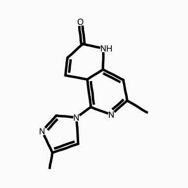 Cc1cn(-c2nc(C)cc3[nH]c(=O)ccc23)cn1